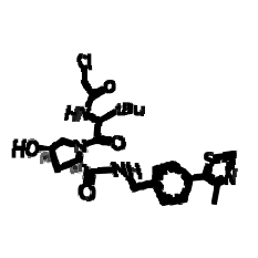 Cc1ncsc1-c1ccc(CNC(=O)[C@@H]2C[C@@H](O)CN2C(=O)C(NC(=O)CCl)C(C)(C)C)cc1